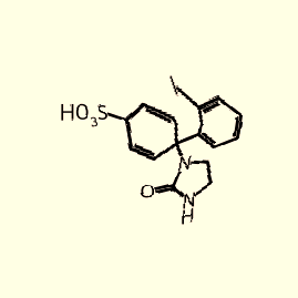 O=C1NCCN1C1(c2ccccc2I)C=CC(S(=O)(=O)O)C=C1